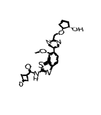 COc1c(-c2cnc(CO[C@H]3CCC[C@@H]3O)nc2)ccc2nc(NC(=O)C3CC(=O)C3)sc12